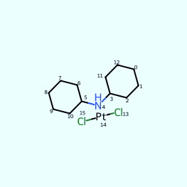 C1CCC(NC2CCCCC2)CC1.[Cl][Pt][Cl]